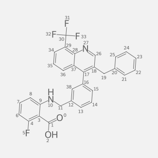 O=C(O)c1c(F)cccc1NCc1cccc(-c2c(Cc3ccccc3)cnc3c(C(F)(F)F)cccc23)c1